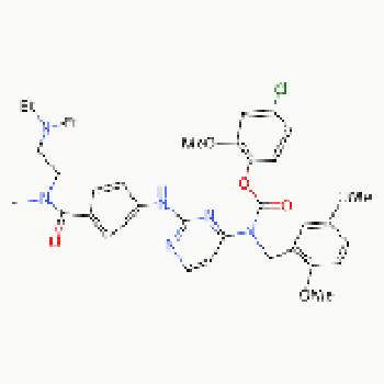 CCN(CC)CCN(C)C(=O)c1ccc(Nc2nccc(N(Cc3cc(OC)ccc3OC)C(=O)Oc3ccc(Cl)cc3OC)n2)cc1